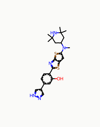 CN(c1cc2sc(-c3ccc(-c4cn[nH]c4)cc3O)nc2s1)C1CC(C)(C)NC(C)(C)C1